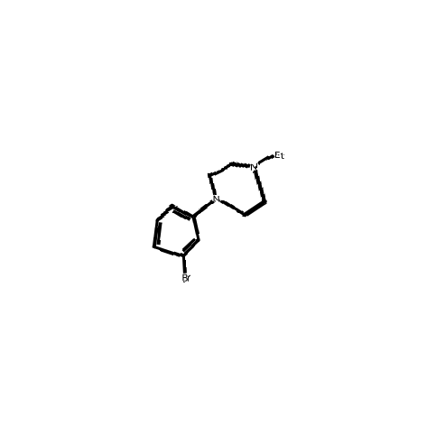 CCN1CCN(c2cccc(Br)c2)CC1